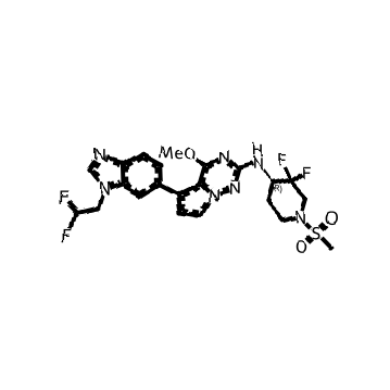 COc1nc(N[C@@H]2CCN(S(C)(=O)=O)CC2(F)F)nn2ccc(-c3ccc4ncn(CC(F)F)c4c3)c12